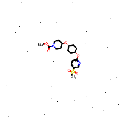 CC(C)(C)OC(=O)N1CCC(O[C@H]2CC[C@@H](Oc3ccc(S(C)(=O)=O)cn3)CC2)CC1